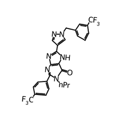 CCCn1c(-c2ccc(C(F)(F)F)cc2)nc2nc(-c3cnn(Cc4cccc(C(F)(F)F)c4)c3)[nH]c2c1=O